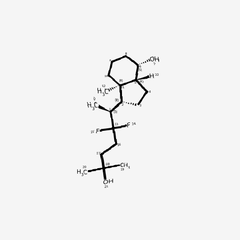 C[C@@H]([C@H]1CC[C@H]2[C@@H](O)CCC[C@]12C)C(F)(F)CCC(C)(C)O